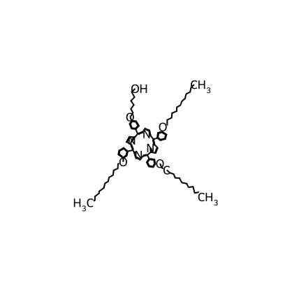 CCCCCCCCCCCCCOc1cccc(C2=C3C=CC(=N3)C(c3cccc(OCCCCCCCCCCCCC)c3)=C3C=CC(=N3)C(c3cccc(OCCCCCCCCCCCCC)c3)=C3C=CC(=N3)C(c3ccc(OCCCCCCO)cc3)=C3C=CC2=N3)c1